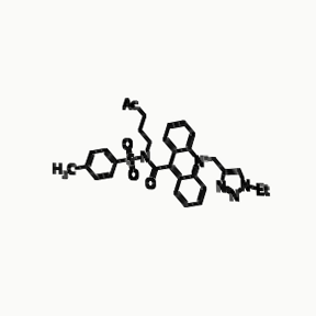 CCn1cc(C[n+]2c3ccccc3c(C(=O)N(CCCC(C)=O)S(=O)(=O)c3ccc(C)cc3)c3ccccc32)nn1